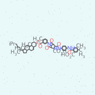 Cc1cc(C(=O)O)c(C(=O)Nc2ccc(NC(=O)C3C4CC(C(=O)N(c5ccc(C)c(C(=O)OC6CCC7(C)C(=CCC8C7CCC7(C)C(C(C)CCCC(C)C)CCC87)C6)c5)C4=O)C3C(=O)O)cc2)cc1C